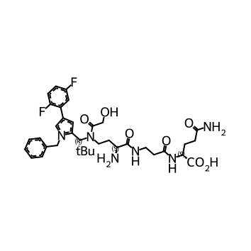 CC(C)(C)[C@H](c1cc(-c2cc(F)ccc2F)cn1Cc1ccccc1)N(CC[C@H](N)C(=O)NCCC(=O)N[C@@H](CCC(N)=O)C(=O)O)C(=O)CO